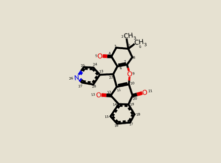 CC1(C)CC(=O)C2=C(C1)OC1=C(C(=O)c3ccccc3C1=O)C2c1ccncc1